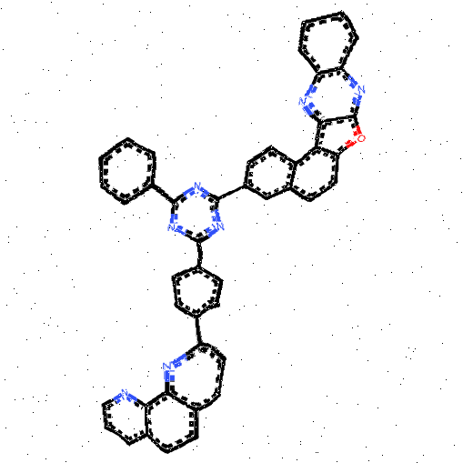 c1ccc(-c2nc(-c3ccc(-c4ccc5ccc6cccnc6c5n4)cc3)nc(-c3ccc4c(ccc5oc6nc7ccccc7nc6c54)c3)n2)cc1